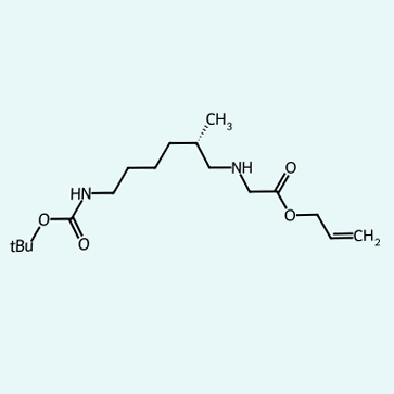 C=CCOC(=O)CNC[C@@H](C)CCCCNC(=O)OC(C)(C)C